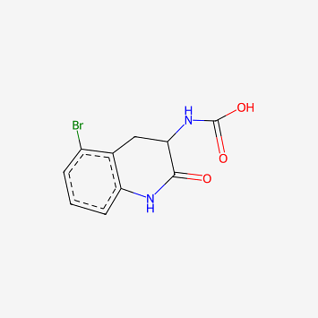 O=C(O)NC1Cc2c(Br)cccc2NC1=O